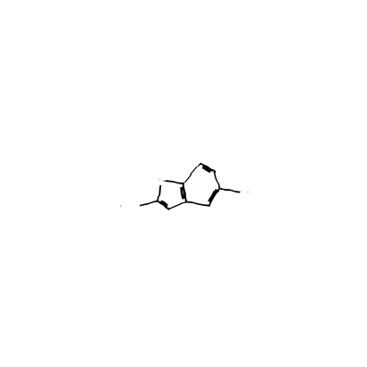 CCCCCc1cc2cc(O)ccc2[nH]1